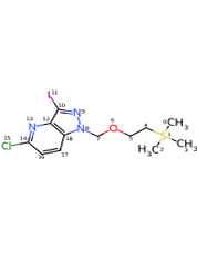 CS(C)(C)CCOCn1nc(I)c2nc(Cl)ccc21